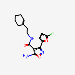 Nc1onc(-c2ccc(Cl)o2)c1C(=O)NCCC1=CCCCC1